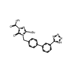 CCCCc1nn(C(=O)CCC)c(=O)n1Cc1ccc(-c2cccc(-c3nnn[nH]3)c2)cc1